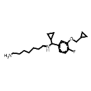 NCCCCCCCNC(c1ccc(F)c(OCC2CC2)c1)C1CC1